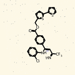 N=C(/C=C(\Nc1ccccc1Cl)c1ccc(C(=O)OCc2ccc(-c3cccs3)s2)cc1)C(F)(F)F